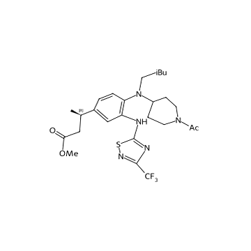 CCC(C)CN(c1ccc([C@H](C)CC(=O)OC)cc1Nc1nc(C(F)(F)F)ns1)C1CCN(C(C)=O)CC1